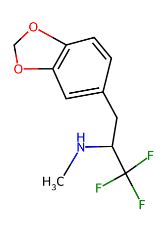 CNC(Cc1ccc2c(c1)OCO2)C(F)(F)F